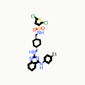 CCc1ccc(Nc2nc(NC[C@H]3CC[C@H](CNS(=O)(=O)c4cc(Cl)sc4Cl)CC3)nc3ccccc23)cc1